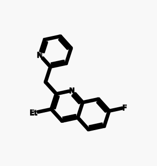 CCc1cc2ccc(F)cc2nc1Cc1ccccn1